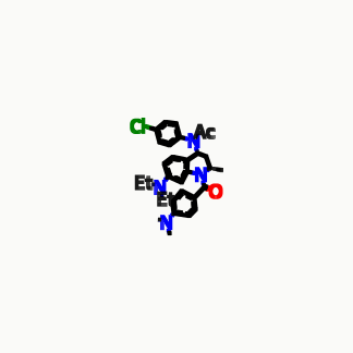 CCN(CC)c1ccc2c(c1)N(C(=O)c1ccc(N(C)C)cc1)[C@H](C)C[C@@H]2N(C(C)=O)c1ccc(Cl)cc1